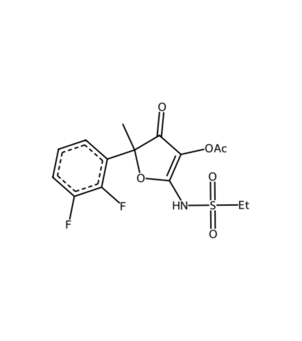 CCS(=O)(=O)NC1=C(OC(C)=O)C(=O)C(C)(c2cccc(F)c2F)O1